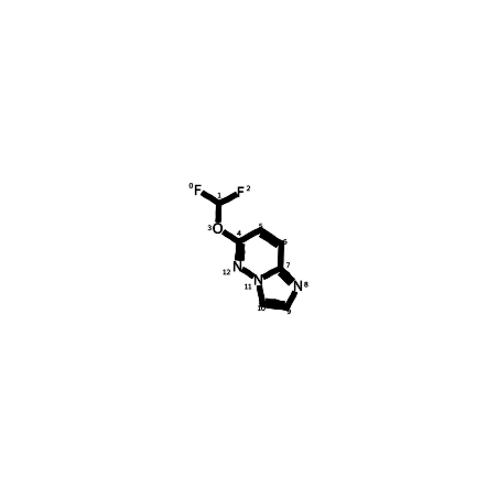 FC(F)Oc1ccc2nccn2n1